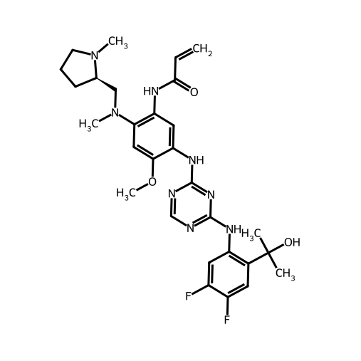 C=CC(=O)Nc1cc(Nc2ncnc(Nc3cc(F)c(F)cc3C(C)(C)O)n2)c(OC)cc1N(C)C[C@H]1CCCN1C